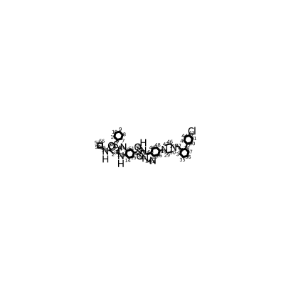 O=C(C[C@H](CSc1ccccc1)Nc1ccc(S(=O)(=O)Nc2ncnc3cc(N4CCN(Cc5ccccc5-c5ccc(Cl)cc5)CC4)ccc23)cc1[N+](=O)[O-])NC1CCC1